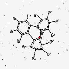 Brc1c(Br)c(Br)c(-c2c(Br)c(Br)c(Br)c(Br)c2-c2c(Br)c(Br)c(Br)c(Br)c2Br)c(Br)c1Br